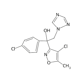 Cc1onc(C(O)(Cn2cncn2)c2ccc(Cl)cc2)c1Cl